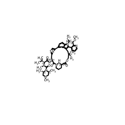 CCn1c(-c2cccnc2[C@H](C)OC)c2c3cc(ccc31)-c1csc(n1)C[C@H](NC(=O)[C@H](C(C)C)N(C)C(=O)N1[C@H](C)CN(C)C[C@@H]1C)C(=O)N1CCC[C@@](O)(N1)C(=O)OCC(C)(C)C2